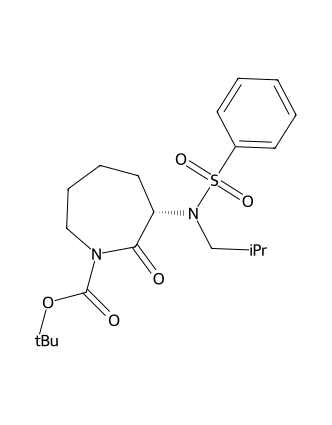 CC(C)CN([C@H]1CCCCN(C(=O)OC(C)(C)C)C1=O)S(=O)(=O)c1ccccc1